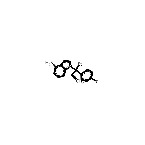 C=CC(CC)(c1ccc(Cl)cc1)n1ccc2c(N)cccc21